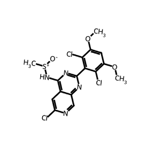 COc1cc(OC)c(Cl)c(-c2nc(N[S+](C)[O-])c3cc(Cl)ncc3n2)c1Cl